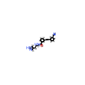 N#Cc1cccc(C#Cc2cccc(C(=O)NCCCc3cn[nH]c3)c2)c1